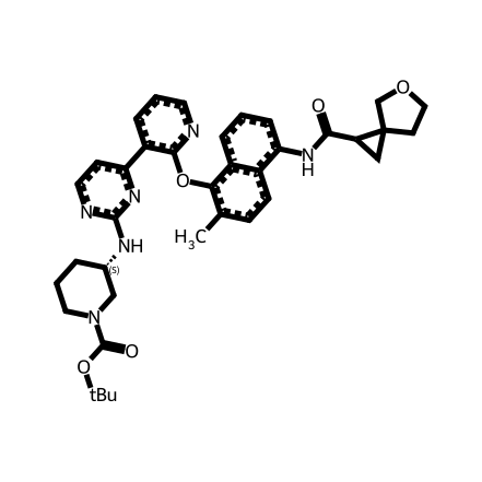 Cc1ccc2c(NC(=O)C3CC34CCOC4)cccc2c1Oc1ncccc1-c1ccnc(N[C@H]2CCCN(C(=O)OC(C)(C)C)C2)n1